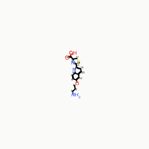 NCCCOc1ccc2nc(C3=NC(C(=O)O)CS3)ccc2c1